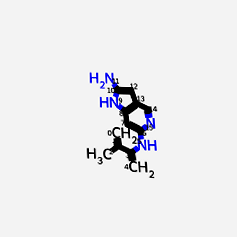 C=C(C)C(=C)Nc1cc2[nH]c(N)cc2cn1